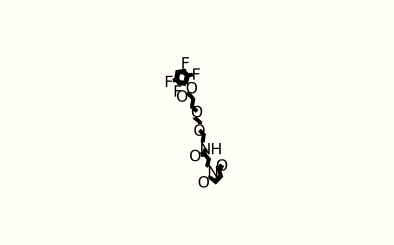 O=C(CCN1C(=O)C=CC1=O)NCCOCCOCCC(=O)Oc1c(F)c(F)cc(F)c1F